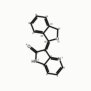 O=C1Nc2cccnc2/C1=C1\OCc2ccccc21